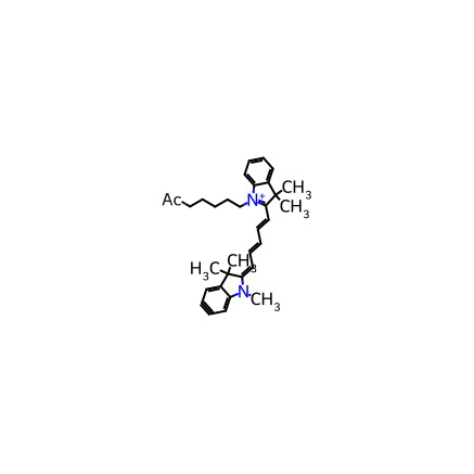 CC(=O)CCCCC[N+]1=C(/C=C/C=C/C=C2/N(C)c3cc#ccc3C2(C)C)C(C)(C)c2ccccc21